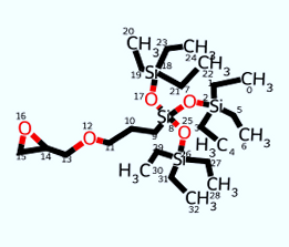 CC[Si](CC)(CC)O[Si](CCCOCC1CO1)(O[Si](CC)(CC)CC)O[Si](CC)(CC)CC